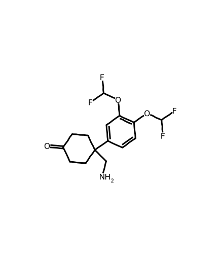 NCC1(c2ccc(OC(F)F)c(OC(F)F)c2)CCC(=O)CC1